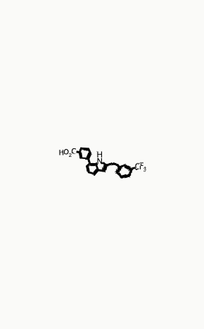 O=C(O)c1cccc(-c2cccc3cc(Cc4cccc(C(F)(F)F)c4)[nH]c23)c1